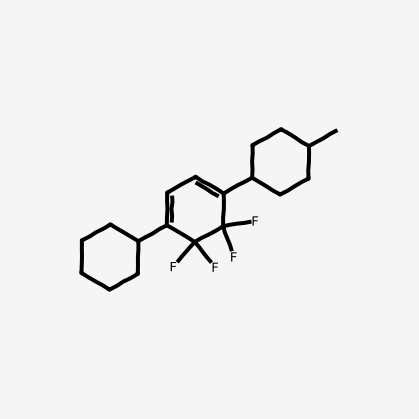 CC1CCC(C2=CC=C(C3CCCCC3)C(F)(F)C2(F)F)CC1